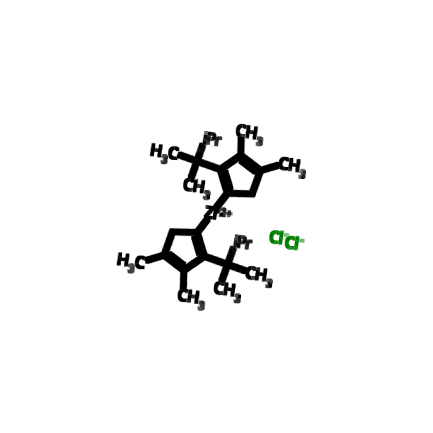 CC1=C(C)C(C(C)(C)C(C)C)=[C]([Zr+2][C]2=C(C(C)(C)C(C)C)C(C)=C(C)C2)C1.[Cl-].[Cl-]